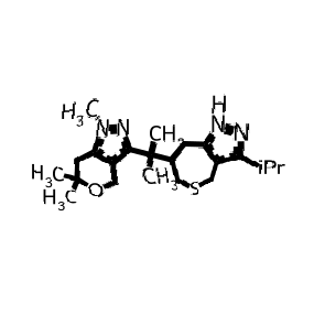 CC(C)c1n[nH]c2c1CSCC(C(C)(C)c1nn(C)c3c1COC(C)(C)C3)C2